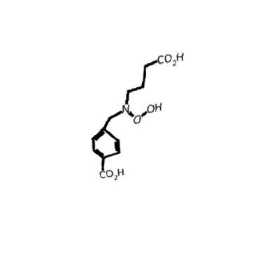 O=C(O)CCCN(Cc1ccc(C(=O)O)cc1)OO